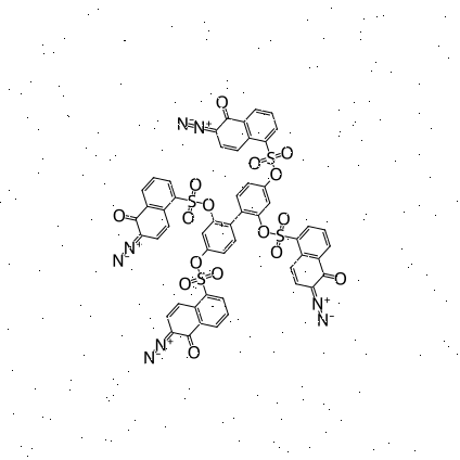 [N-]=[N+]=C1C=Cc2c(cccc2S(=O)(=O)Oc2ccc(-c3ccc(OS(=O)(=O)c4cccc5c4C=CC(=[N+]=[N-])C5=O)cc3OS(=O)(=O)c3cccc4c3C=CC(=[N+]=[N-])C4=O)c(OS(=O)(=O)c3cccc4c3C=CC(=[N+]=[N-])C4=O)c2)C1=O